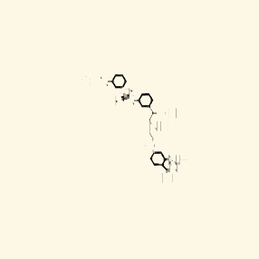 CCc1n[nH]c2cc(OCCNCC(O)c3cccc(NS(=O)(=O)c4cccc([N+](=O)[O-])c4)c3)ccc12